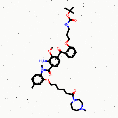 COc1c(C(=O)c2ccccc2OCCCNC(=O)OC(C)(C)C)ccc(C(=O)N(C)c2ccc(C)cc2OCCCCCC(=O)N2CCCN(C)CC2)c1N